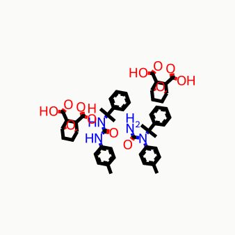 Cc1ccc(N(C(N)=O)C(C)(C)c2ccccc2)cc1.Cc1ccc(NC(=O)NC(C)(C)c2ccccc2)cc1.O=C(O)C1C2CCC(O2)C1C(=O)O.O=C(O)C1C2CCC(O2)C1C(=O)O